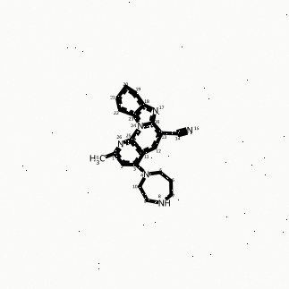 Cc1cc(N2CCCNCC2)c2cc(C#N)c3nc4ccccc4n3c2n1